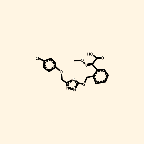 CON=C(C(=O)O)c1ccccc1CSc1nnc(COc2ccc(Cl)cc2)o1